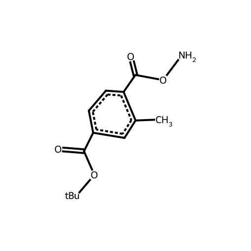 Cc1cc(C(=O)OC(C)(C)C)ccc1C(=O)ON